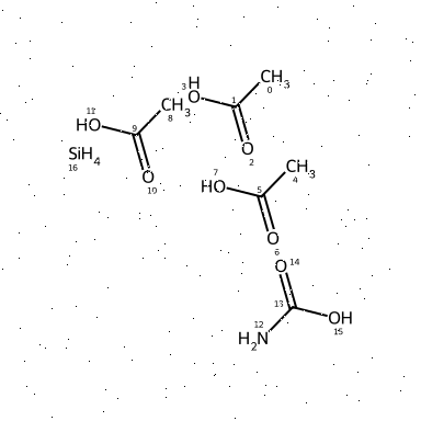 CC(=O)O.CC(=O)O.CC(=O)O.NC(=O)O.[SiH4]